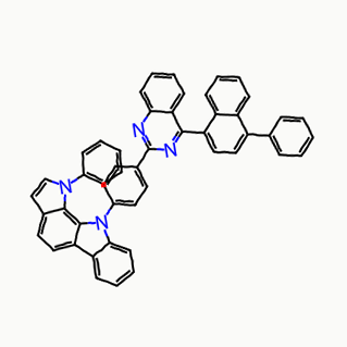 c1ccc(-c2ccc(-c3nc(-c4ccc(-n5c6ccccc6c6ccc7ccn(-c8ccccc8)c7c65)cc4)nc4ccccc34)c3ccccc23)cc1